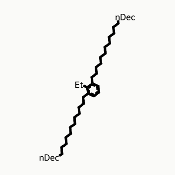 [CH2]Cc1c(CCCCCCCCCCCCCCCCCCCCCC)cccc1CCCCCCCCCCCCCCCCCCCCCC